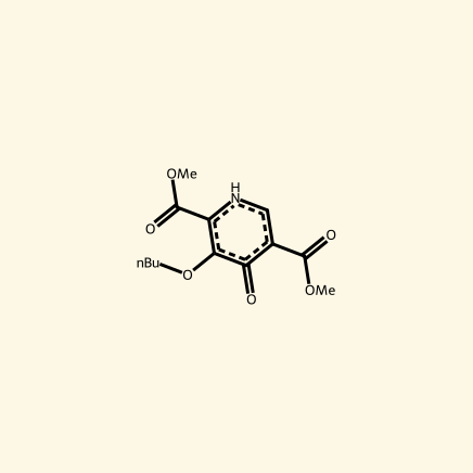 CCCCOc1c(C(=O)OC)[nH]cc(C(=O)OC)c1=O